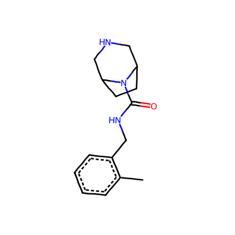 Cc1ccccc1CNC(=O)N1C2CCC1CNC2